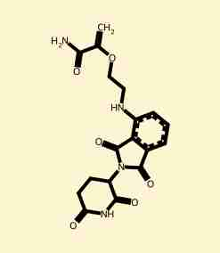 C=C(OCCNc1cccc2c1C(=O)N(C1CCC(=O)NC1=O)C2=O)C(N)=O